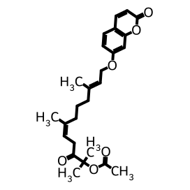 CC(=O)OC(C)(C)C(=O)C/C=C(/C)CCC/C(C)=C/COc1ccc2ccc(=O)oc2c1